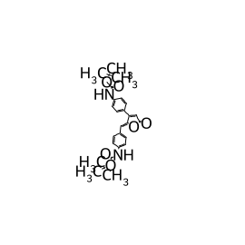 CC(C)(C)OC(=O)Nc1ccc(/C=C2\OC(=O)C=C2c2ccc(NC(=O)OC(C)(C)C)cc2)cc1